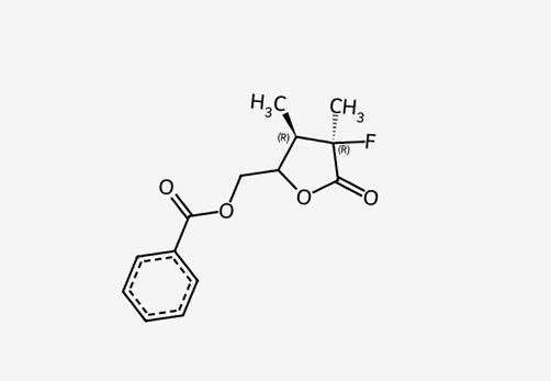 C[C@@H]1C(COC(=O)c2ccccc2)OC(=O)[C@]1(C)F